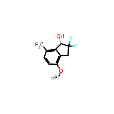 CCCOc1ccc(C(F)(F)F)c2c1CC(F)(F)[C@H]2O